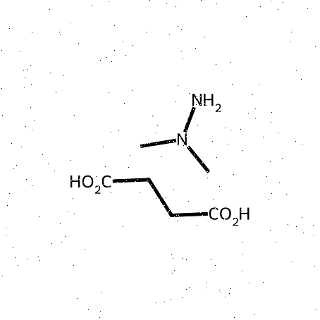 CN(C)N.O=C(O)CCC(=O)O